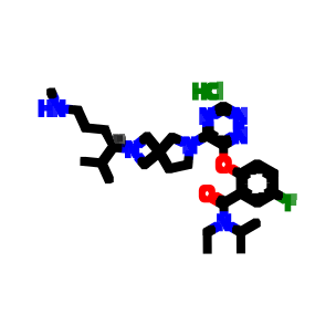 CCN(C(=O)c1cc(F)ccc1Oc1nncnc1N1CCC2(C1)CN([C@H](CCCNC)C(C)C)C2)C(C)C.Cl